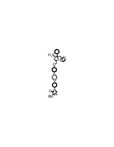 CCC(C)n1ncn(-c2ccc(N3CCN(c4ccc(OC[C@H]5CN(C)[C@](Cn6nccn6)(c6ccccc6)S5)cc4)CC3)cc2)c1=O